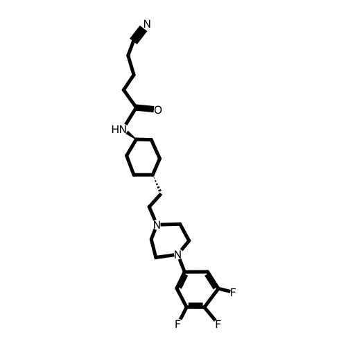 N#CCCCC(=O)N[C@H]1CC[C@H](CCN2CCN(c3cc(F)c(F)c(F)c3)CC2)CC1